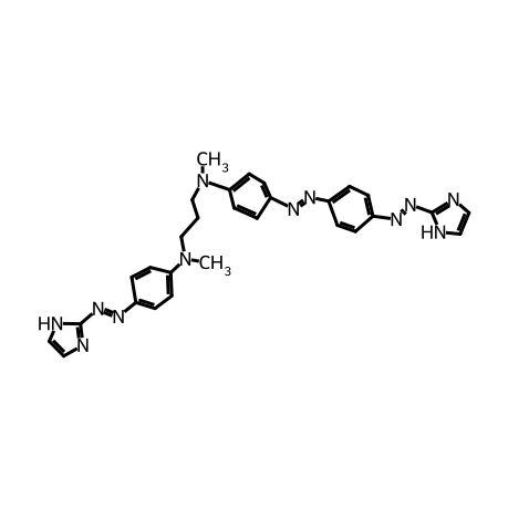 CN(CCCN(C)c1ccc(/N=N/c2ncc[nH]2)cc1)c1ccc(/N=N/c2ccc(/N=N/c3ncc[nH]3)cc2)cc1